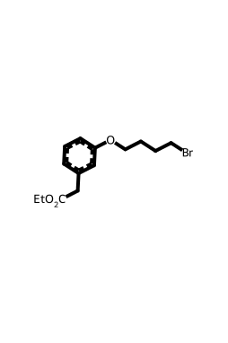 CCOC(=O)Cc1cccc(OCCCCBr)c1